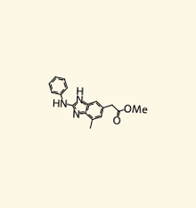 COC(=O)Cc1cc(C)c2nc(Nc3ccccc3)[nH]c2c1